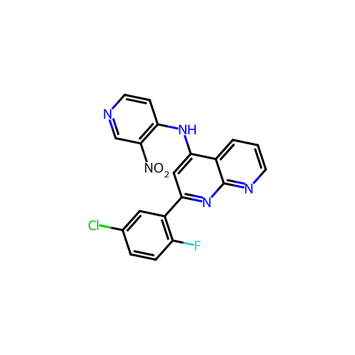 O=[N+]([O-])c1cnccc1Nc1cc(-c2cc(Cl)ccc2F)nc2ncccc12